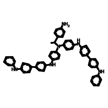 CC(c1ccc(N)cc1)N(c1ccc(Nc2ccc(-c3ccc(Nc4ccccc4)cc3)cc2)cc1)c1ccc(Nc2ccc(-c3ccc(Nc4ccccc4)cc3)cc2)cc1